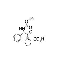 CC(C)OC(=O)N[C@@H](C(=O)N1CCC[C@H]1C(=O)O)c1ccccc1